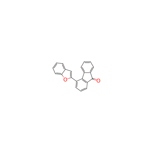 O=C1c2ccccc2-c2c1cccc2-c1cc2ccccc2o1